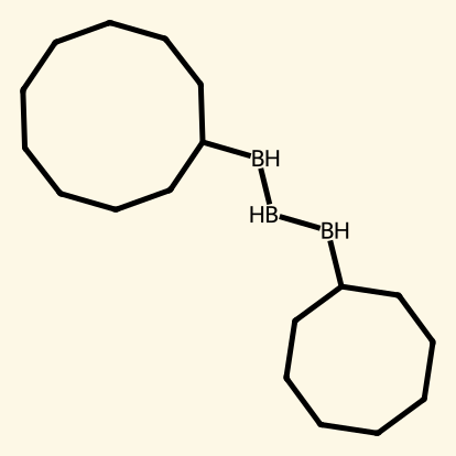 B(BC1CCCCCCCCC1)BC1CCCCCCC1